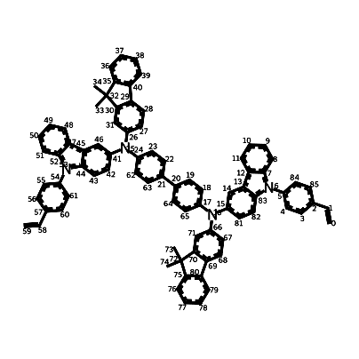 C=Cc1ccc(-n2c3ccccc3c3cc(N(c4ccc(-c5ccc(N(c6ccc7c(c6)C(C)(C)c6ccccc6-7)c6ccc7c(c6)c6ccccc6n7-c6ccc(C=C)cc6)cc5)cc4)c4ccc5c(c4)C(C)(C)c4ccccc4-5)ccc32)cc1